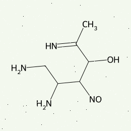 CC(=N)C(O)C(N=O)C(N)CN